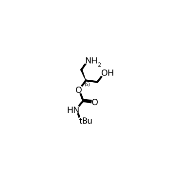 CC(C)(C)NC(=O)O[C@@H](CN)CO